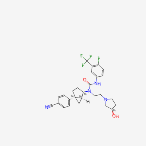 N#Cc1ccc([C@]23CC[C@@H](N(CCN4CC[C@@H](O)C4)C(=O)Nc4ccc(F)c(C(F)(F)F)c4)[C@H]2C3)cc1